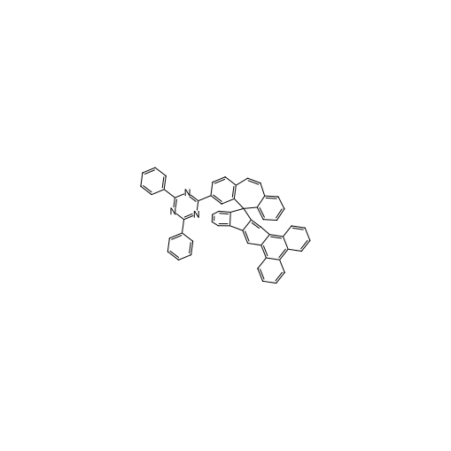 C1=Cc2ccc(-c3nc(-c4ccccc4)nc(-c4ccccc4)n3)cc2C2(c3ccccc31)c1ccccc1-c1cc3c4ccccc4c4ccccc4c3cc12